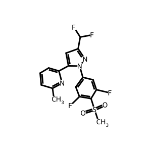 Cc1cccc(-c2cc(C(F)F)nn2-c2cc(F)c(S(C)(=O)=O)c(F)c2)n1